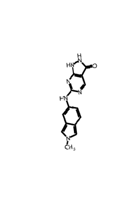 Cn1cc2ccc(Nc3ncc4c(=O)[nH][nH]c4n3)cc2c1